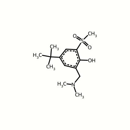 CN(C)Cc1cc(C(C)(C)C)cc(S(C)(=O)=O)c1O